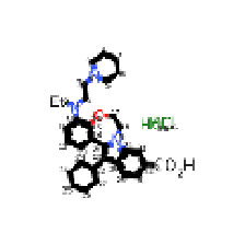 CCN(CCN1CCCCC1)c1cccc2c1OCCn1c-2c(C2CCCCC2)c2ccc(C(=O)O)cc21.Cl.Cl